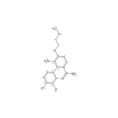 COCCOc1ccc(C(N)=O)c(-c2ccc(Cl)c(Cl)c2)c1N